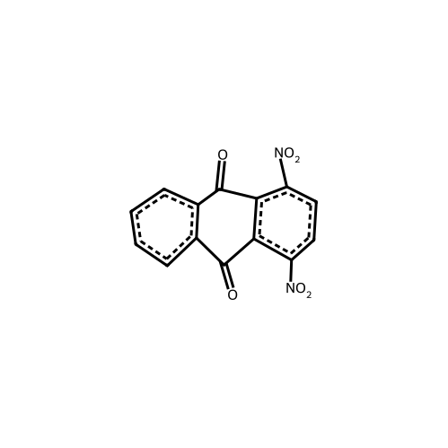 O=C1c2ccccc2C(=O)c2c([N+](=O)[O-])ccc([N+](=O)[O-])c21